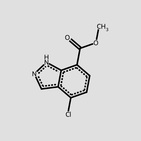 COC(=O)c1ccc(Cl)c2cn[nH]c12